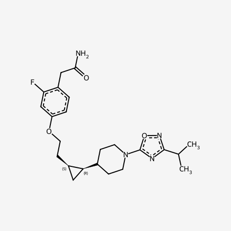 CC(C)c1noc(N2CCC([C@H]3C[C@H]3CCOc3ccc(CC(N)=O)c(F)c3)CC2)n1